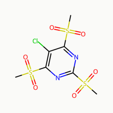 CS(=O)(=O)c1nc(S(C)(=O)=O)c(Cl)c(S(C)(=O)=O)n1